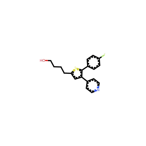 OCCCCc1cc(-c2ccncc2)c(-c2ccc(F)cc2)s1